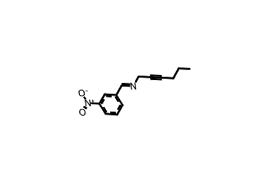 CCCC#CC/N=C/c1cccc([N+](=O)[O-])c1